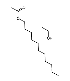 CCCCCCCCCCCOC(C)=O.CCO